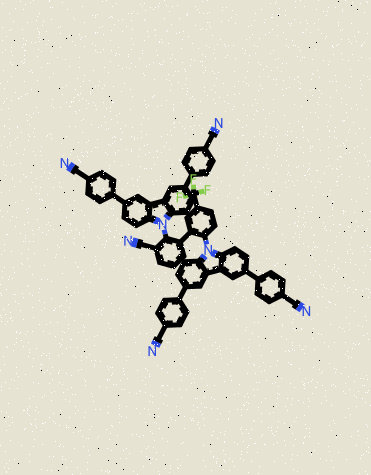 N#Cc1ccc(-c2ccc3c(c2)c2cc(-c4ccc(C#N)cc4)ccc2n3-c2ccc(C(F)(F)F)cc2-c2cccc(C#N)c2-n2c3ccc(-c4ccc(C#N)cc4)cc3c3cc(-c4ccc(C#N)cc4)ccc32)cc1